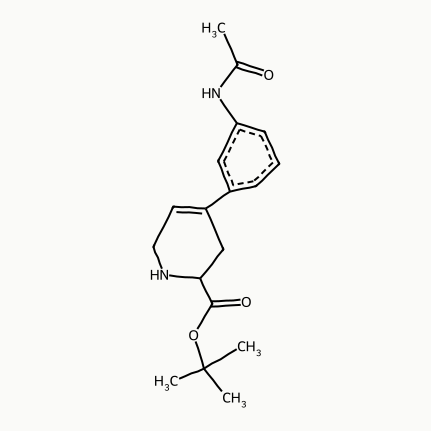 CC(=O)Nc1cccc(C2=CCNC(C(=O)OC(C)(C)C)C2)c1